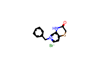 O=C1CSc2cc[n+](Cc3ccccc3)cc2N1.[Br-]